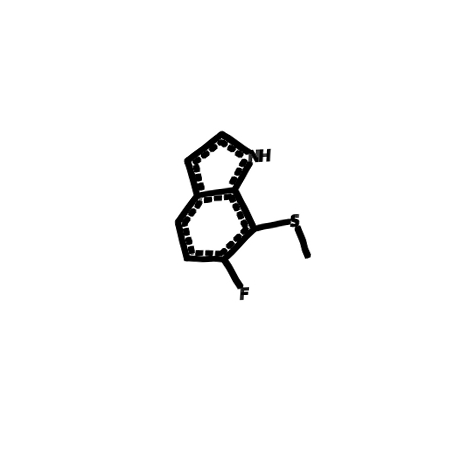 CSc1c(F)ccc2cc[nH]c12